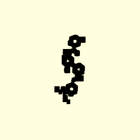 CC1(C)C[C@H](CNc2cccc(-c3cc(NC(=O)[C@H]4CNCCO4)ncc3Cl)c2)CCO1